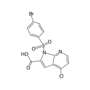 O=C(O)c1cc2c(Cl)ccnc2n1S(=O)(=O)c1ccc(Br)cc1